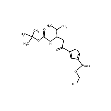 CCOC(=O)c1csc(C(=O)CC(NC(=O)OC(C)(C)C)C(C)C)n1